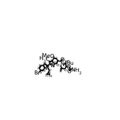 COc1cc(C(=O)N2C[C@H](F)C[C@@H](OC(N)=O)C2C(C)(C)C)cn2nc(-c3cc4ccc(Br)cc4n3CC3CC3)c(C)c12